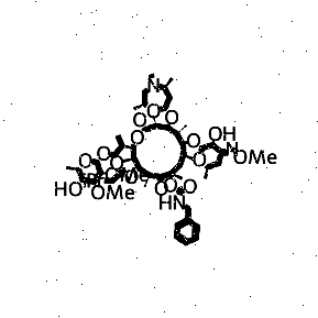 CO/N=C1\C[C@@H](C)O[C@@H](O[C@@H]2[C@@H](C)[C@H](O[C@H]3C[C@H](C)N(C)C[C@H](C)O3)[C@@H](C)C(=O)O[C@H](C(C)CO[C@@H]3O[C@H](C)[C@@H](O)[C@@H](OC)[C@H]3OC)[C@H](C)[C@@H](OC(=O)CC(C)C)[C@@H](C)C(=O)[C@@](C)(OC(=O)NCc3ccccc3)C[C@@H]2C)[C@@H]1O